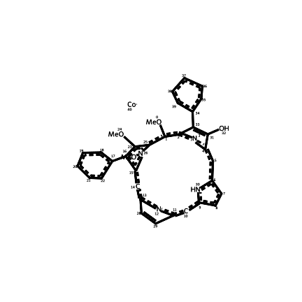 COc1c2nc(cc3ccc(cc4nc(cc5c(-c6ccccc6)c(OC)c1n5OC)C=C4)[nH]3)C(O)=C2c1ccccc1.[Co]